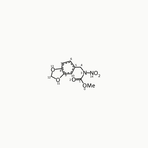 COC(=O)N(Cc1ccc2c(c1)OCO2)[N+](=O)[O-]